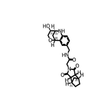 O=C(CN1C(=O)[C@@H]2[C@@H]3CC[C@@H](C3)[C@@H]2C1=O)NCc1ccc2c(c1)[C@H]1C[C@H](N2)[C@H](O)CO1